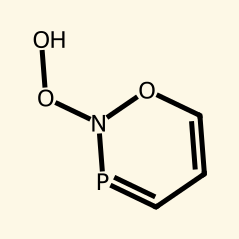 OON1OC=CC=P1